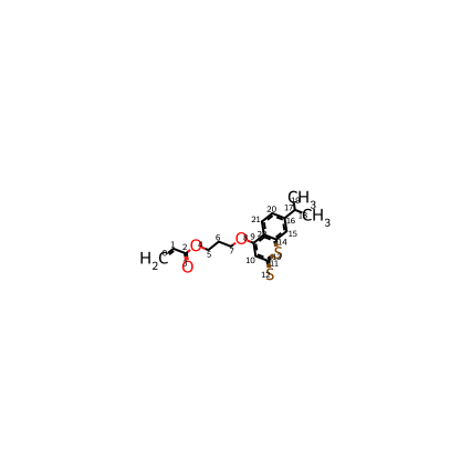 C=CC(=O)OCCCOc1cc(=S)sc2cc(C(C)C)ccc12